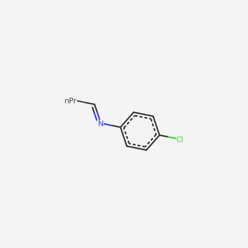 CCCC=Nc1ccc(Cl)cc1